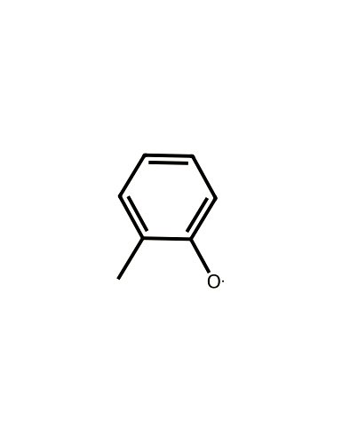 Cc1ccccc1[O]